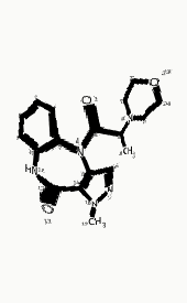 CC(C(=O)N1c2ccccc2NC(=O)c2c1cnn2C)N1CCOCC1